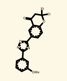 CCC1(CC)CC(=O)c2cc(-c3nc(-c4cccc(OC)c4)no3)ccc2O1